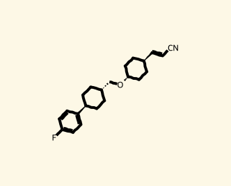 N#CC=C[C@H]1CC[C@H](OC[C@H]2CC[C@H](c3ccc(F)cc3)CC2)CC1